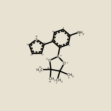 CC1(C)OB(c2cc(N)ccc2-c2cccs2)OC1(C)C